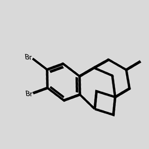 CC1CC2CC3(C1)CC(C3)c1cc(Br)c(Br)cc12